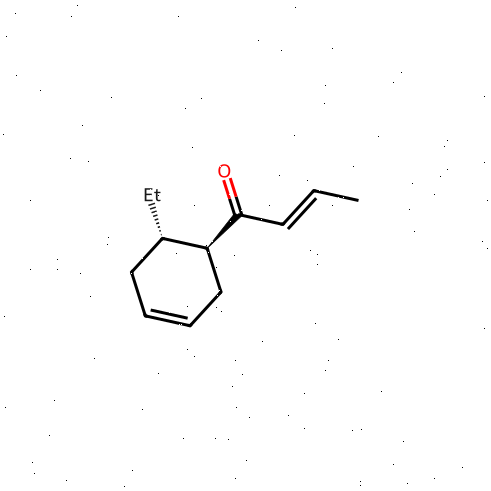 C/C=C/C(=O)[C@H]1CC=CC[C@@H]1CC